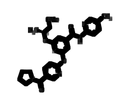 COC[C@@H](C)Oc1cc(C(=O)Nc2ccc(C)cn2)cc(Oc2ccc(C(=O)N3CCCC3)cn2)n1